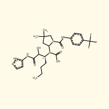 CCCC[C@@H](C(O)C(=O)Nc1ccn[nH]1)N(C(=O)O)C1CC(C)(C)CN1C(=O)Nc1ccc(C(F)(F)F)cc1